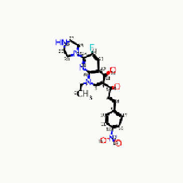 CCn1cc(C(=O)C=Cc2ccc([N+](=O)[O-])cc2)c(=O)c2cc(F)c(N3CCNCC3)nc21